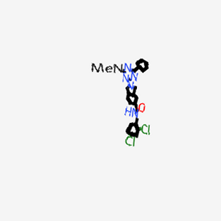 CNc1nc(-c2ccccc2)nc(N2Cc3ccc(C(=O)NCc4ccc(Cl)cc4Cl)cc3C2)n1